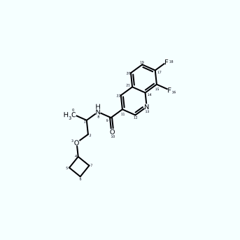 CC(COC1CCC1)NC(=O)c1cnc2c(F)c(F)ccc2c1